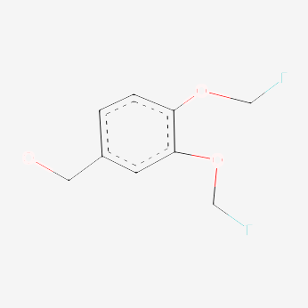 [O]Cc1ccc(OCF)c(OCF)c1